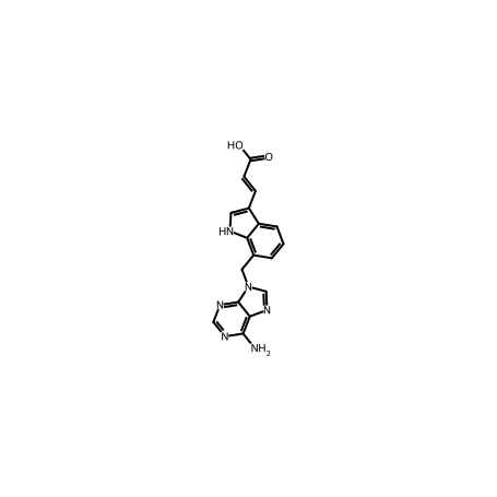 Nc1ncnc2c1ncn2Cc1cccc2c(/C=C/C(=O)O)c[nH]c12